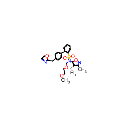 COCCOCN(c1onc(C)c1C)S(=O)(=O)c1ccccc1-c1ccc(Cc2ncco2)cc1